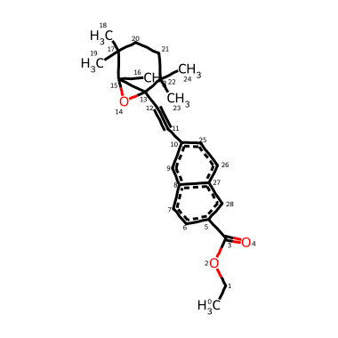 CCOC(=O)c1ccc2cc(C#CC34OC3(C)C(C)(C)CCC4(C)C)ccc2c1